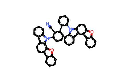 N#Cc1c(-c2ccccc2-n2c3ccccc3c3c4c(ccc32)oc2ccccc24)cccc1-n1c2ccccc2c2ccc3c4ccccc4oc3c21